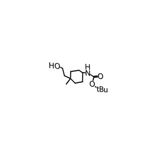 CC1(CCO)CCC(NC(=O)OC(C)(C)C)CC1